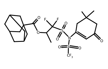 CC(OC(=O)C12CC3CC(CC(C3)C1)C2)C(F)(F)S(=O)(=O)N(C1=CC(=O)CC(C)(C)C1)S(=O)(=O)C(F)(F)F